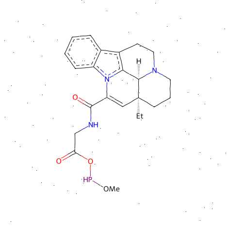 CC[C@@]12C=C(C(=O)NCC(=O)OPOC)n3c4c(c5ccccc53)CCN(CCC1)[C@H]42